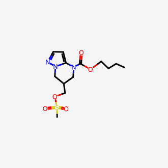 CCCCOC(=O)N1CC(COS(C)(=O)=O)Cn2nccc21